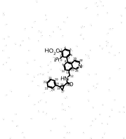 CC(C)c1c(C(=O)O)cccc1-c1ccc(CNC(=O)C2CC2c2ccccc2)c2cnccc12